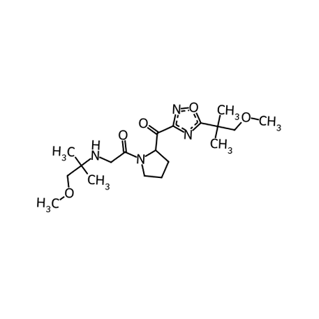 COCC(C)(C)NCC(=O)N1CCCC1C(=O)c1noc(C(C)(C)COC)n1